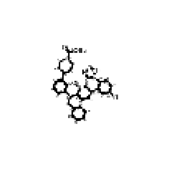 CC(C)COC(=O)N1CCC(c2cccc(C(Cc3ccccc3)c3ccc(-c4cc(Cl)ccc4-n4cnnn4)c[n+]3[O-])c2)CC1